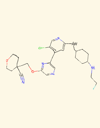 N#CC1(COc2cncc(-c3cc([AsH]C4CCC(NCCF)CC4)ncc3Cl)n2)CCOCC1